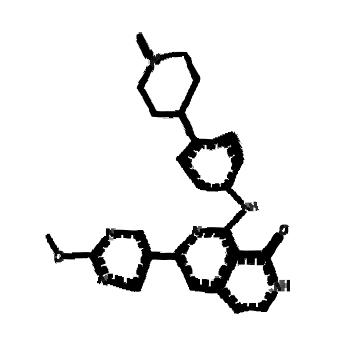 COc1ncc(-c2cc3cc[nH]c(=O)c3c(Nc3ccc(C4CCN(C)CC4)cc3)n2)cn1